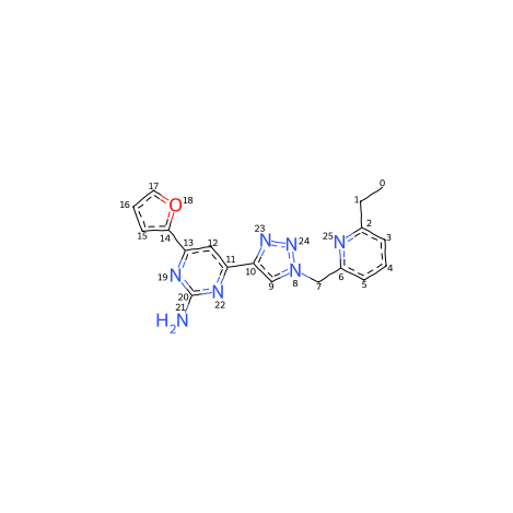 CCc1cccc(Cn2cc(-c3cc(-c4ccco4)nc(N)n3)nn2)n1